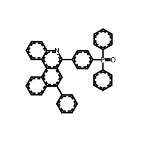 O=P(c1ccccc1)(c1ccccc1)c1ccc(-c2nc3ccccc3c3c2cc(-c2ccccc2)c2ccccc23)cc1